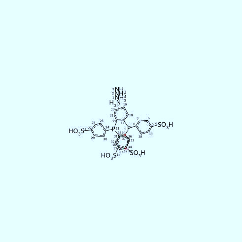 N.N.N.N.O=S(=O)(O)c1ccc(P(c2ccc(S(=O)(=O)O)cc2)c2ccccc2P(c2ccc(S(=O)(=O)O)cc2)c2ccc(S(=O)(=O)O)cc2)cc1